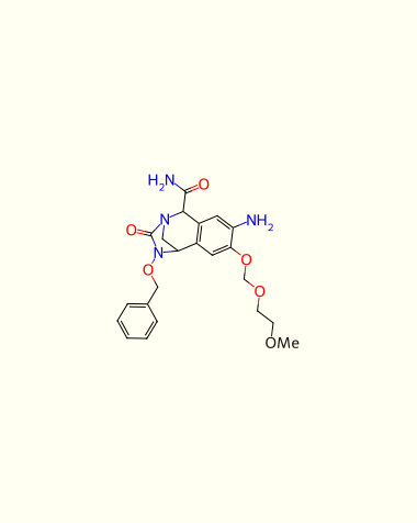 COCCOCOc1cc2c(cc1N)C(C(N)=O)N1CC2N(OCc2ccccc2)C1=O